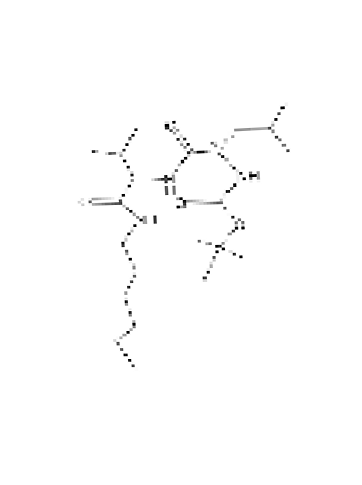 CCCCCCNC(=O)C(NC(=O)[C@H](CC(C)C)NC(=O)OC(C)(C)C)C(C)C